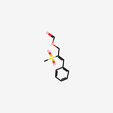 CS(=O)(=O)/C(=C\c1ccccc1)CO[C]=O